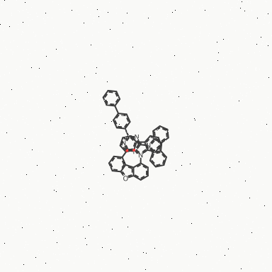 c1ccc(-c2ccc(-c3nc(-c4cccc5oc6cccc(-n7c8ccccc8c8ccccc87)c6c45)nc(-n4c5ccccc5c5ccccc54)n3)cc2)cc1